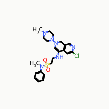 CN1CCN(N2C=C(NCCS(=O)(=O)N(C)c3ccccc3)c3cc(Cl)ncc3C2)CC1